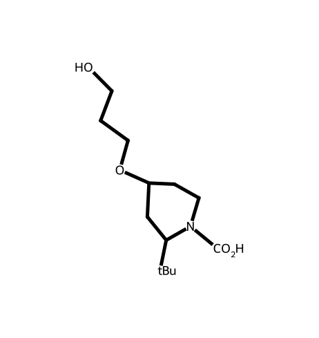 CC(C)(C)C1CC(OCCCO)CCN1C(=O)O